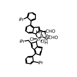 CC(C)CC1=Cc2c(-c3ccccc3C(C)C)cccc2[CH]1[Zr]([Cl])([Cl])([B](NC=O)NC=O)[CH]1C(CC(C)C)=Cc2c(-c3ccccc3C(C)C)cccc21